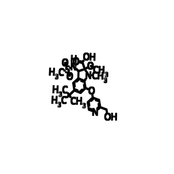 COC1(C(=O)O)C(NS(C)(=O)=O)c2cc(C(C)(C)C)cc(Oc3ccnc(CO)c3)c2N1C